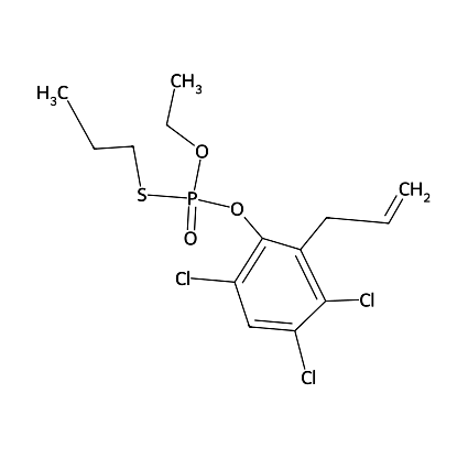 C=CCc1c(Cl)c(Cl)cc(Cl)c1OP(=O)(OCC)SCCC